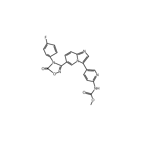 COC(=O)Nc1ccc(-c2cnc3ccc(-c4noc(=O)n4-c4ccc(F)cc4)cn23)cn1